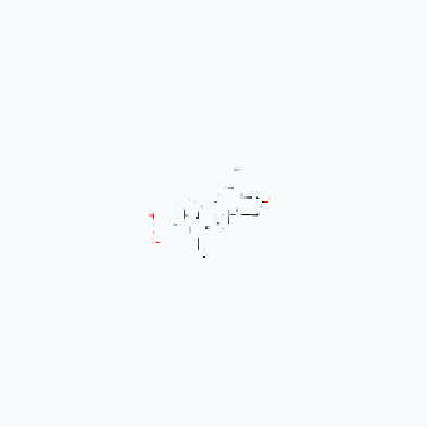 CCC1CC2C(CCC3(C)C(CC4OCCO4)CCC23)C2(C)CCC(=O)C=C12